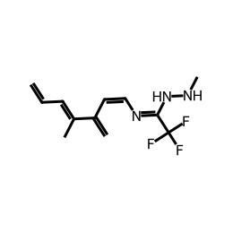 C=C/C=C(\C)C(=C)/C=C\N=C(/NNC)C(F)(F)F